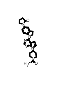 CC(=O)N1CCC(n2ccc3c(N4CCc5cc(N6CCCC6=O)ccc54)ncnc32)CC1